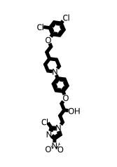 O=[N+]([O-])c1cn(CCC(O)COc2ccc(N3CCC(CCOc4ccc(Cl)cc4Cl)CC3)cc2)c(Cl)n1